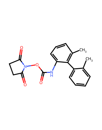 Cc1ccccc1-c1c(C)cccc1NC(=O)ON1C(=O)CCC1=O